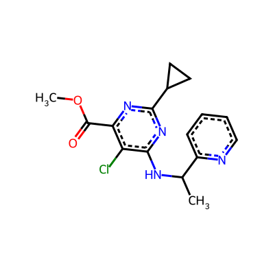 COC(=O)c1nc(C2CC2)nc(NC(C)c2ccccn2)c1Cl